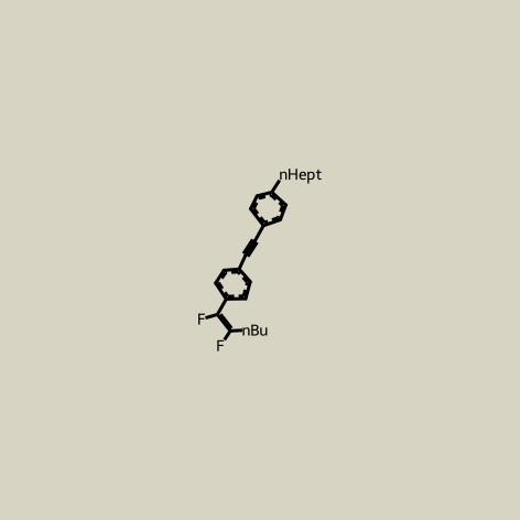 CCCCCCCc1ccc(C#Cc2ccc(/C(F)=C(/F)CCCC)cc2)cc1